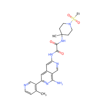 CCS(=O)(=O)N1CCC(C#N)(NC(=O)C(=O)Nc2cc3cc(-c4cnccc4C)nc(N)c3cn2)CC1